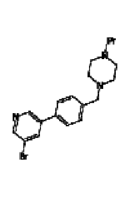 CC(C)N1CCN(Cc2ccc(-c3cncc(Br)c3)cc2)CC1